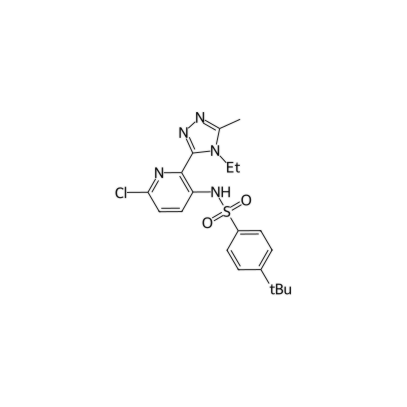 CCn1c(C)nnc1-c1nc(Cl)ccc1NS(=O)(=O)c1ccc(C(C)(C)C)cc1